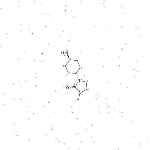 CN1CCN([C@H]2CC[C@H](N)CC2)C1=O